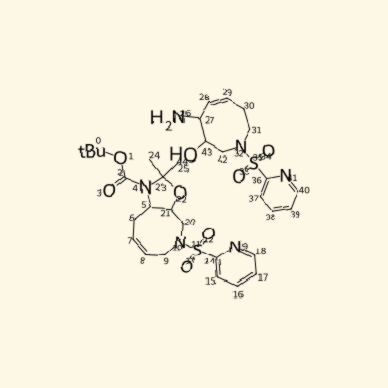 CC(C)(C)OC(=O)N1C2C/C=C\CN(S(=O)(=O)c3ccccn3)CC2OC1(C)C.NC1/C=C\CCN(S(=O)(=O)c2ccccn2)CC1O